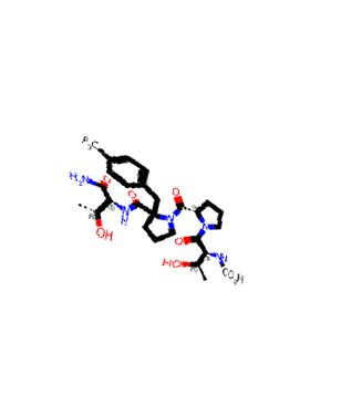 C[C@@H](O)[C@H](NC(=O)C1(Cc2ccc(C(F)(F)F)cc2)CCCN1C(=O)[C@@H]1CCCN1C(=O)[C@@H](NC(=O)O)[C@@H](C)O)C(N)=O